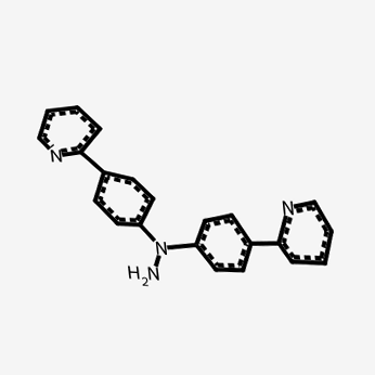 NN(c1ccc(-c2ccccn2)cc1)c1ccc(-c2ccccn2)cc1